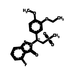 CCOc1cc([C@@H](CS(C)(=O)=O)n2sc3cccc(F)c3c2=O)ccc1OC